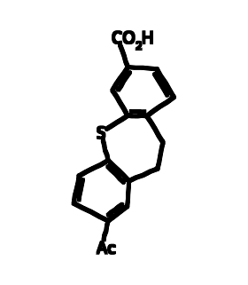 CC(=O)c1ccc2c(c1)CCc1ccc(C(=O)O)cc1S2